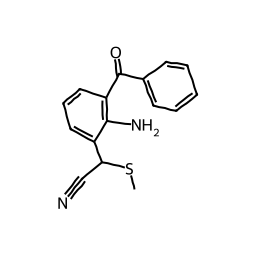 CSC(C#N)c1cccc(C(=O)c2ccccc2)c1N